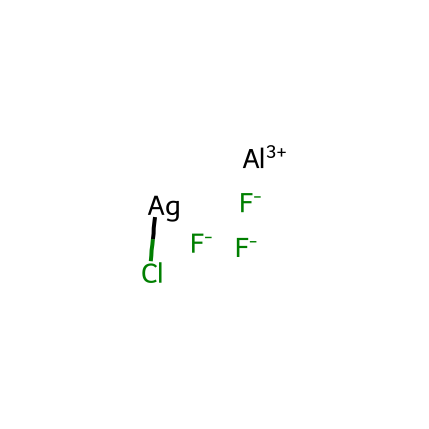 [Al+3].[Cl][Ag].[F-].[F-].[F-]